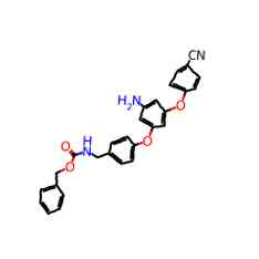 N#Cc1ccc(Oc2cc(N)cc(Oc3ccc(CNC(=O)OCc4ccccc4)cc3)c2)cc1